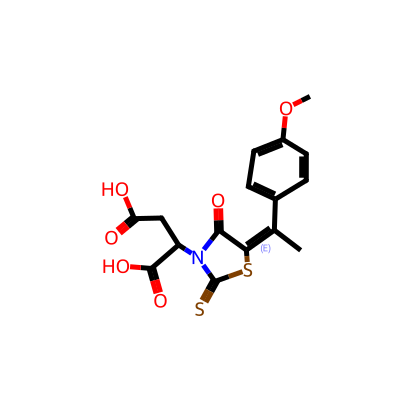 COc1ccc(/C(C)=C2/SC(=S)N(C(CC(=O)O)C(=O)O)C2=O)cc1